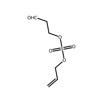 C=CCOS(=O)(=O)OCCC=O